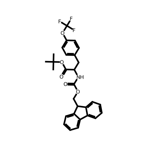 CC(C)(C)OC(=O)C(Cc1ccc(OC(F)(F)F)cc1)NC(=O)OCC1c2ccccc2-c2ccccc21